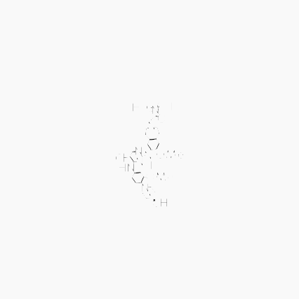 COc1cc2c(cc1Nc1ncc(Cl)c(Nc3ccc(N4CCN(C)CC4)c(OC)c3)n1)CCN(CC(=O)N(C)C)CC2